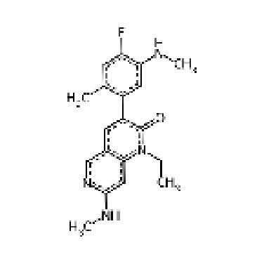 CCn1c(=O)c(-c2cc(NC)c(F)cc2C)cc2cnc(NC)cc21